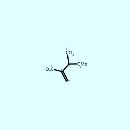 C=C(C(=O)O)C(OC)C(Cl)(Cl)Cl